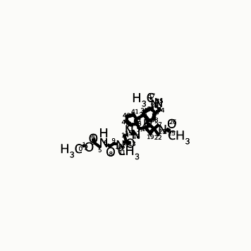 CCOC(=O)CNC(=O)CN(C)C(=O)Cn1nc(C2CC3(C2)CN(C(C)=O)C3)c2c(-c3cc4c(cnn4C)cc3F)cccc21